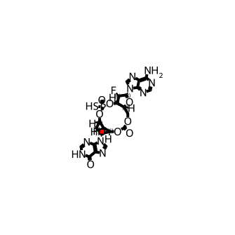 Nc1ncnc2c1ncn2[C@@H]1O[C@@H]2COC(=O)O[C@@H]3[C@H](O)[C@H](C[C@H]3n3cnc4c(=O)[nH]cnc43)OP(=O)(S)O[C@H]2[C@H]1F